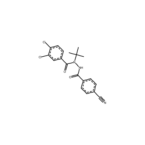 CC(C)(C)N(NC(=O)c1ccc(C#N)cc1)C(=O)c1ccc(Cl)c(Cl)c1